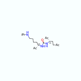 CC(=O)CC[C@H](NC(=O)N[C@@H](CCCCNC(C)C)C(C)=O)C(C)=O